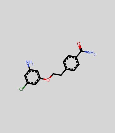 NC(=O)c1ccc(CCOc2cc(N)cc(Cl)c2)cc1